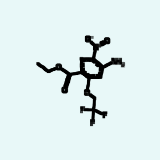 CCOC(=O)c1cc([N+](=O)[O-])c(N)cc1OCC(F)(F)F